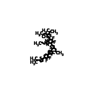 CCCn1nc2c(-c3cc(CC(C)C)c(-c4ccc(-c5ccc(-c6ccc(C(C)C)s6)c(F)c5F)s4)s3)c(F)c(F)c(-c3cc(CC(C)C)c(C(C)C)s3)c2n1